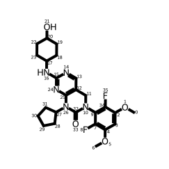 COc1cc(OC)c(F)c(N2Cc3cnc(NC4CCC(O)CC4)nc3N(C3CCCC3)C2=O)c1F